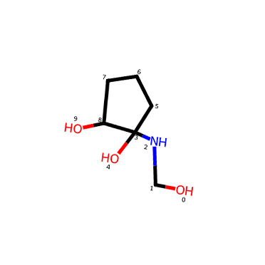 OCNC1(O)CCCC1O